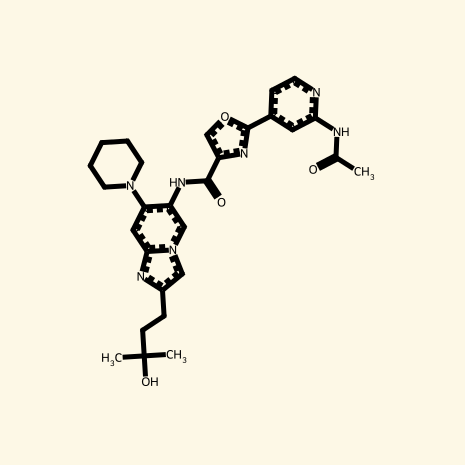 CC(=O)Nc1cc(-c2nc(C(=O)Nc3cn4cc(CCC(C)(C)O)nc4cc3N3CCCCC3)co2)ccn1